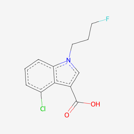 O=C(O)c1cn(CCCF)c2cccc(Cl)c12